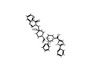 O=C(c1cnc(-c2ccccc2)s1)N1CC[C@@H](C(=O)N2CCC(O)(Cn3cnc4cccnc4c3=O)CC2)[C@H](c2ccccc2)C1